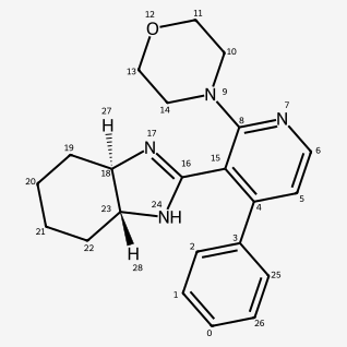 c1ccc(-c2ccnc(N3CCOCC3)c2C2=N[C@@H]3CCCC[C@H]3N2)cc1